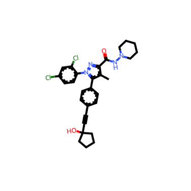 Cc1c(C(=O)NN2CCCCC2)nn(-c2ccc(Cl)cc2Cl)c1-c1ccc(C#CC2(O)CCCC2)cc1